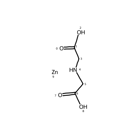 O=C(O)CNCC(=O)O.[Zn]